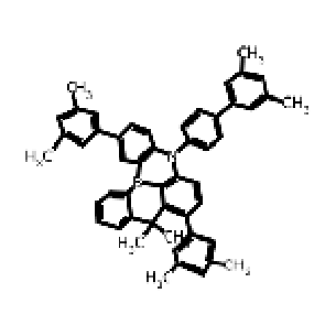 Cc1cc(C)cc(-c2ccc(N3c4ccc(-c5cc(C)cc(C)c5)cc4B4c5ccccc5C(C)(C)c5c(-c6cc(C)cc(C)c6)ccc3c54)cc2)c1